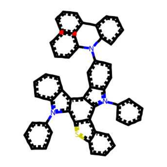 c1ccc(-c2ccccc2N(c2ccccc2)c2ccc3c(c2)c2c4c5ccccc5n(-c5ccccc5)c4c4sc5ccccc5c4c2n3-c2ccccc2)cc1